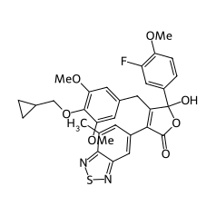 COc1ccc(C2(O)OC(=O)C(c3cc(C)c4nsnc4c3)=C2Cc2cc(OC)c(OCC3CC3)c(OC)c2)cc1F